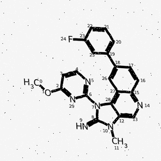 COc1ccnc(-n2c(=N)n(C)c3cnc4ccc(-c5cccc(F)c5)cc4c32)n1